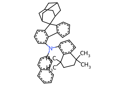 CC1(C)CCC(C)(C)c2c(N(c3ccc4ccccc4c3)c3cccc4c3-c3ccccc3C43C4CC5CC(C4)CC3C5)cccc21